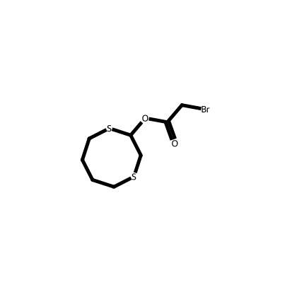 O=C(CBr)OC1CSCCCCS1